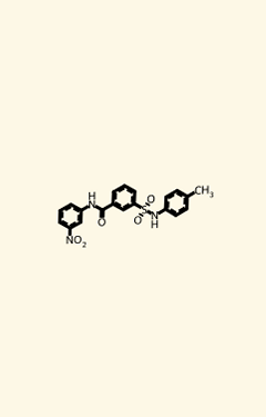 Cc1ccc(NS(=O)(=O)c2cccc(C(=O)Nc3cccc([N+](=O)[O-])c3)c2)cc1